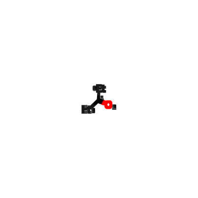 [CH]CC(=O)C[CH2]